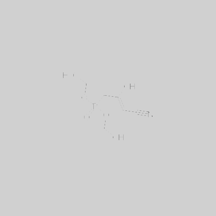 CCOP(=O)(CC(C)=CC#N)OCC